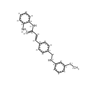 CSc1cccc(NCc2ccc(C=CC(=O)Nc3ccccc3N)cc2)c1